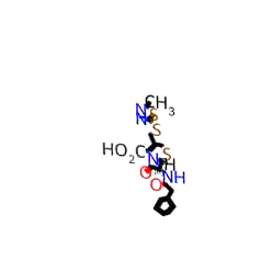 Cc1nnc(SCC2=C(C(=O)O)N3C(=O)[C@@H](NC(=O)Cc4ccccc4)[C@@H]3SC2)s1